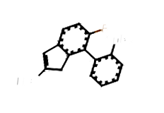 CCCCc1ccccc1-c1c(Br)ccc2c1CC(C)=C2